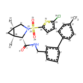 O=C(NCc1cccc(-c2ccc(C(F)(F)F)cc2)c1)[C@@H]1[C@H]2C[C@H]2CN1S(=O)(=O)c1ccc(Cl)s1